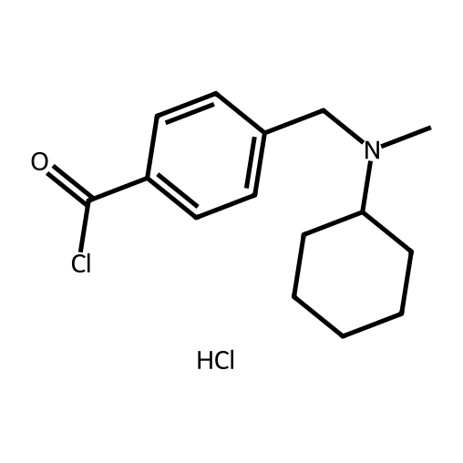 CN(Cc1ccc(C(=O)Cl)cc1)C1CCCCC1.Cl